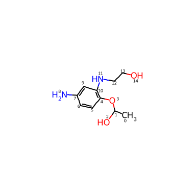 CC(O)Oc1ccc(N)cc1NCCO